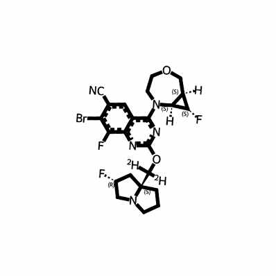 [2H]C([2H])(Oc1nc(N2CCOC[C@H]3[C@H](F)[C@H]32)c2cc(C#N)c(Br)c(F)c2n1)[C@@]12CCCN1C[C@H](F)C2